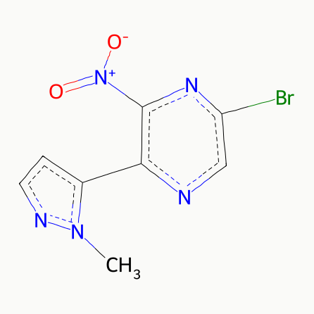 Cn1nccc1-c1ncc(Br)nc1[N+](=O)[O-]